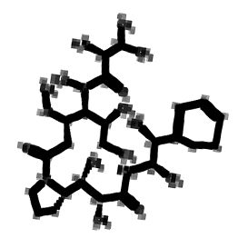 CC[C@H](C)[C@@H]([C@@H](CC(=O)N1CCC[C@H]1[C@H](C)[C@@H](C)C(=O)N[C@H](C)[C@@H](O)C1=CC=CCC1)OC)N(C)C(=O)[C@@H](N)C(C)C